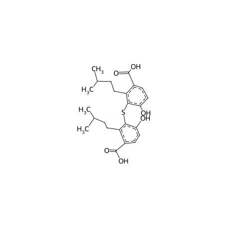 CC(C)CCc1c(C(=O)O)ccc(O)c1Sc1c(O)ccc(C(=O)O)c1CCC(C)C